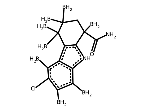 Bc1c(Cl)c(B)c2c3c([nH]c2c1B)C(B)(C(N)=O)CC(B)(B)C3(B)B